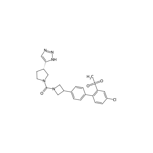 CS(=O)(=O)c1cc(Cl)ccc1-c1ccc(C2CN(C(=O)N3CC[C@H](c4cnn[nH]4)C3)C2)cc1